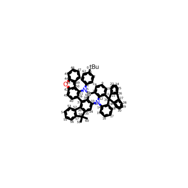 CC(C)(C)c1ccc(N2B3c4cccc5c4N(c4ccccc4C54c5ccccc5-c5ccccc54)c4cc5c(c(c43)-c3ccc4oc6ccccc6c4c32)-c2ccccc2C5(C)C)cc1